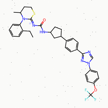 CCc1ccccc1N1/C(=N/C(=O)NC2CCC(c3ccc(-c4ncn(-c5ccc(OC(F)(F)F)cc5)n4)cc3)C2)SCCC1C